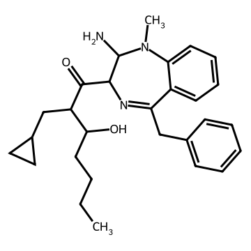 CCCCC(O)C(CC1CC1)C(=O)C1N=C(Cc2ccccc2)c2ccccc2N(C)C1N